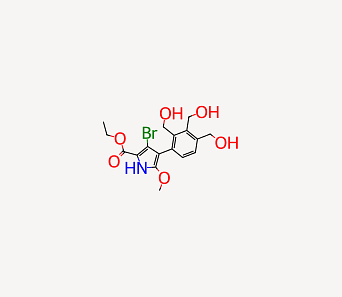 CCOC(=O)c1[nH]c(OC)c(-c2ccc(CO)c(CO)c2CO)c1Br